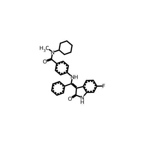 CN(C(=O)c1ccc(NC(=C2C(=O)Nc3cc(F)ccc32)c2ccccc2)cc1)C1CCCCC1